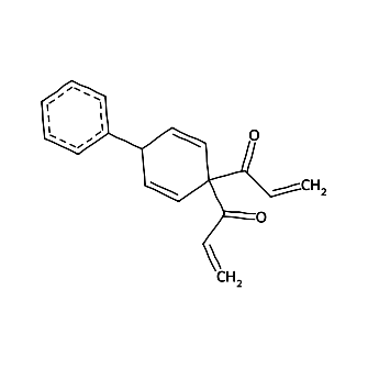 C=CC(=O)C1(C(=O)C=C)C=CC(c2ccccc2)C=C1